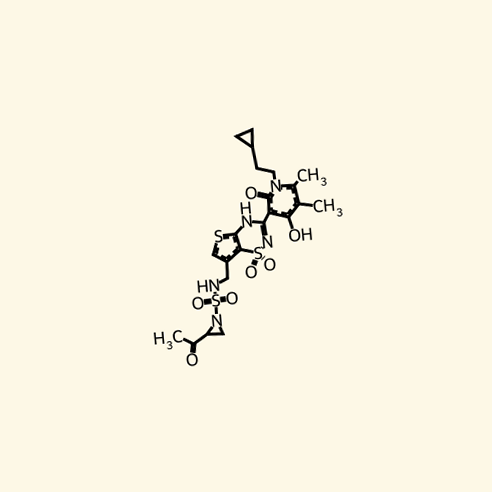 CC(=O)C1CN1S(=O)(=O)NCc1csc2c1S(=O)(=O)N=C(c1c(O)c(C)c(C)n(CCC3CC3)c1=O)N2